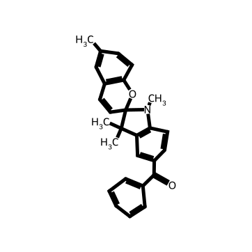 Cc1ccc2c(c1)C=CC1(O2)N(C)c2ccc(C(=O)c3ccccc3)cc2C1(C)C